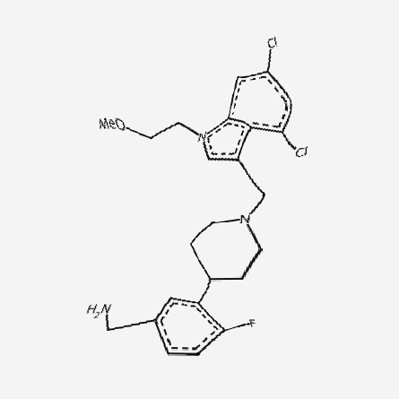 COCCn1cc(CN2CCC(c3cc(CN)ccc3F)CC2)c2c(Cl)cc(Cl)cc21